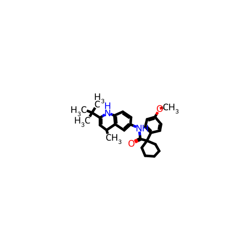 COc1ccc(C2(C(=O)Nc3ccc4c(c3)C(C)C=C(C(C)(C)C)N4)CCCCC2)cc1